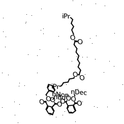 CC(C)CCCCCOC(=O)CCCCCCCCC(=O)OCCCCCC(C)C.CCCCCCCCCCCOC(=O)c1ccccc1C(=O)OCCCCCCCCC.CCCCOC(=O)c1ccccc1C(=O)OCc1ccccc1